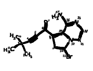 CS(C)(C)C#CC(=O)c1cc(Br)n2ncnc(N)c12